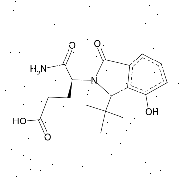 CC(C)(C)C1c2c(O)cccc2C(=O)N1[C@@H](CCC(=O)O)C(N)=O